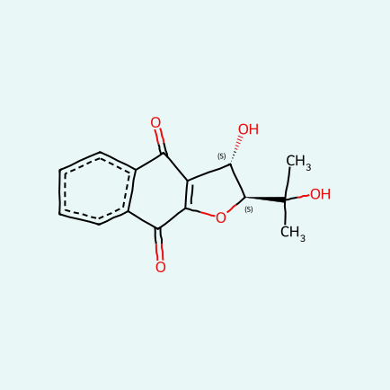 CC(C)(O)[C@H]1OC2=C(C(=O)c3ccccc3C2=O)[C@@H]1O